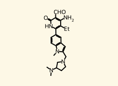 CCc1c(-c2ccc3c(c2)cc(CN2CCC(N(C)C)C2)n3C)[nH]c(=O)c(C=O)c1N